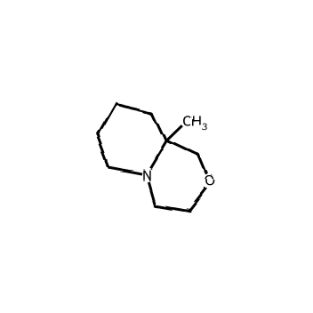 CC12CCCCN1CCOC2